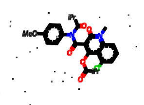 COc1ccc(N(C(=O)c2c(OC(=O)C(C)C)c3c(Cl)cccc3n(C)c2=O)C(=O)C(C)C)cc1